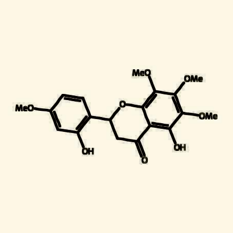 COc1ccc(C2CC(=O)c3c(O)c(OC)c(OC)c(OC)c3O2)c(O)c1